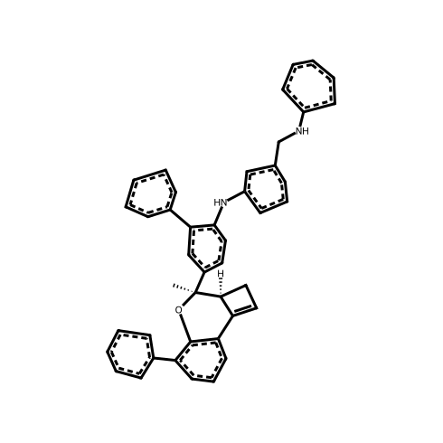 C[C@@]1(c2ccc(Nc3cccc(CNc4ccccc4)c3)c(-c3ccccc3)c2)Oc2c(cccc2-c2ccccc2)C2=CC[C@@H]21